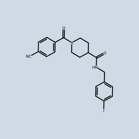 N#Cc1ccc(C(=O)N2CCC(C(=O)NCc3ccc(I)cc3)CC2)cc1